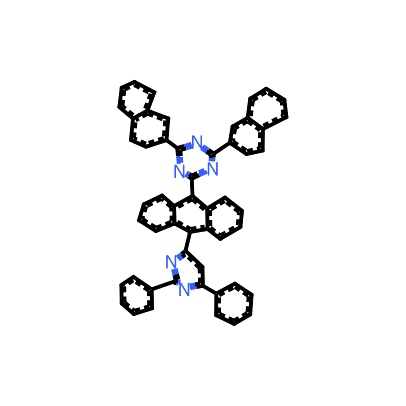 c1ccc(-c2cc(-c3c4ccccc4c(-c4nc(-c5ccc6ccccc6c5)nc(-c5ccc6ccccc6c5)n4)c4ccccc34)nc(-c3ccccc3)n2)cc1